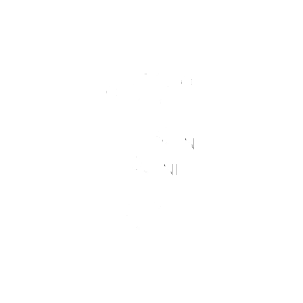 COc1ccc2c(c1)-c1sc(NC(=O)c3c(F)cccc3F)nc1CCO2